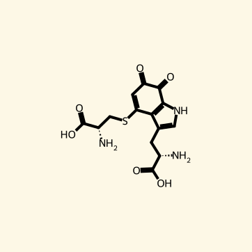 N[C@@H](CSC1=CC(=O)C(=O)c2[nH]cc(C[C@H](N)C(=O)O)c21)C(=O)O